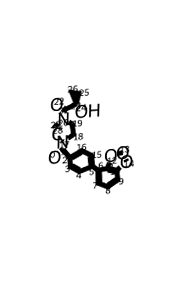 O=C(c1ccc(-c2cccc3c2OOO3)cc1)N1CCN(C(=O)C2(O)CC2)CC1